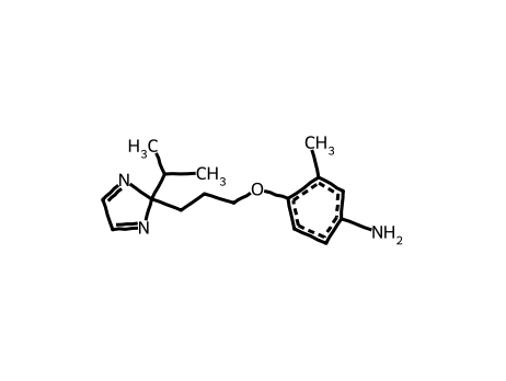 Cc1cc(N)ccc1OCCCC1(C(C)C)N=CC=N1